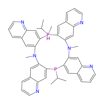 CC(C)P1c2cc3cccnc3cc2N(C)c2cc3ncccc3cc2[PH](C)(C(C)C)c2cc3ncccc3cc2N(C)c2cc3cccnc3cc21